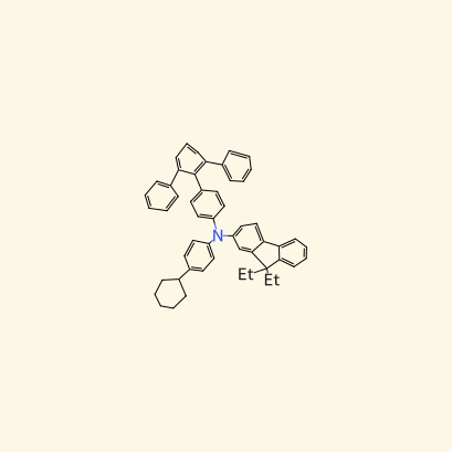 CCC1(CC)c2ccccc2-c2ccc(N(c3ccc(-c4c(-c5ccccc5)cccc4-c4ccccc4)cc3)c3ccc(C4CCCCC4)cc3)cc21